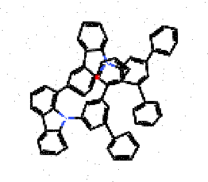 c1ccc(-c2cc(-c3ccccc3)cc(-n3c4ccccc4c4cc(-c5cccc6c7ccccc7n(-c7cc(-c8ccccc8)cc(-c8ccccc8)c7)c56)ccc43)c2)cc1